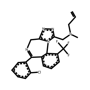 C=CCN(C)Cc1nnc2n1-c1c(cccc1C(F)(F)F)C(c1ccccc1Cl)=NC2